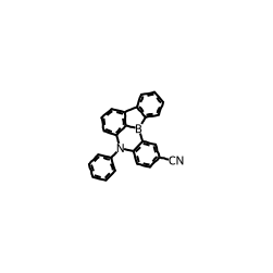 N#Cc1ccc2c(c1)B1c3ccccc3-c3cccc(c31)N2c1ccccc1